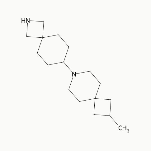 CC1CC2(CCN(C3CCC4(CC3)CNC4)CC2)C1